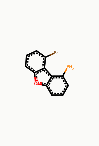 Pc1cccc2oc3cccc(Br)c3c12